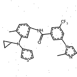 Cc1ccc(NC(=O)c2cc(-n3ccnc3C)cc(C(F)(F)F)c2)cc1N(c1ccsc1)C1CC1